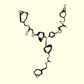 O=C(COc1ccc([S+](c2ccc(OCC(=O)OCC3CCC4OC4C3)cc2)c2ccc(OCC(=O)OCC3CCC4OC4C3)cc2)cc1)OCC1CCC2OC2C1